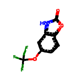 O=c1[nH]c2cc(OC(F)(F)F)ccc2o1